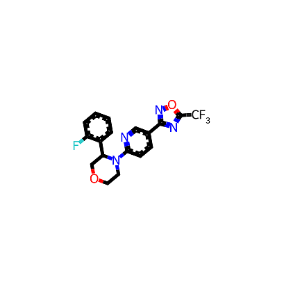 Fc1ccccc1C1COCCN1c1ccc(-c2noc(C(F)(F)F)n2)cn1